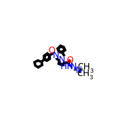 CN(C)C=NNC(=O)c1ccc2n1Cc1ccccc1N(C(=O)c1ccc(C3CCCCC3)cc1)C2